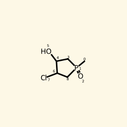 CP1(=O)CC(O)C(Cl)C1